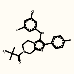 CC(C)(N)C(=O)N1CCn2c(nc(-c3ccc(F)cc3)c2Nc2cc(Cl)cc(Cl)c2)C1